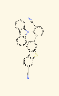 N#Cc1ccc2c(c1)sc1cc(-c3cccc(C#N)c3-n3c4ccccc4c4ccccc43)ccc12